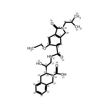 CCOc1cc2c(cc1C(=O)NCC(O)[C@@H]1Cc3ccccc3CN1C(=O)O)CN(CC(C)C)C2=O